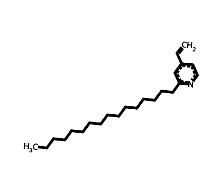 C=Cc1ccnc(CCCCCCCCCCCCCCCC)c1